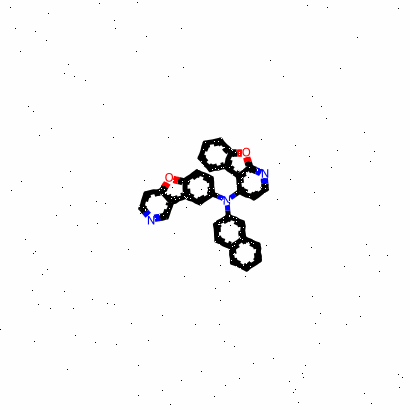 c1ccc2cc(N(c3ccc4oc5ccncc5c4c3)c3ccnc4oc5ccccc5c34)ccc2c1